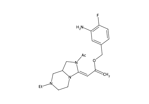 C=C(/C=C1\N(C(C)=O)CC2CN(CC)CCN12)OCc1ccc(F)c(N)c1